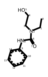 CCN(CCO)C(=O)Nc1ccccc1